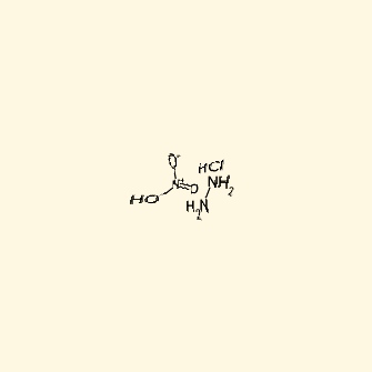 Cl.NN.O=[N+]([O-])O